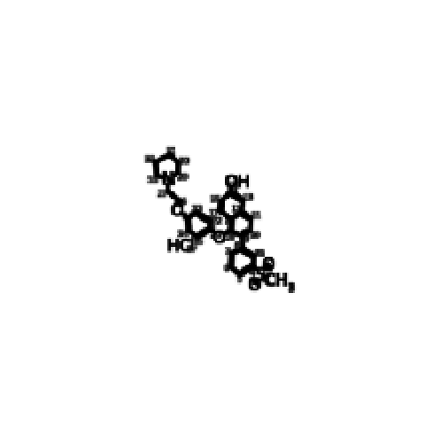 CS(=O)(=O)c1cccc(-c2ccc3cc(O)ccc3c2Oc2ccc(OCCN3CCCCC3)cc2)c1.Cl